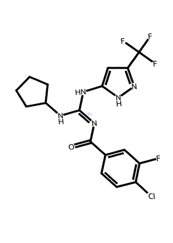 O=C(/N=C(/Nc1cc(C(F)(F)F)n[nH]1)NC1CCCC1)c1ccc(Cl)c(F)c1